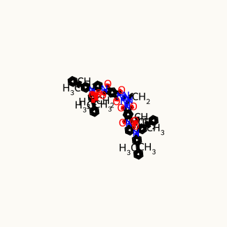 C=Cc1nc(-n2c(=O)c3cc4c(=O)n(-c5cccc(N(c6ccc(C(C)(C)c7ccccc7)cc6)c6ccc(C(C)(C)c7ccccc7)cc6)c5OC(=O)C(=C)C)c(=O)c4cc3c2=O)nc(-n2c(=O)c3cc4c(=O)n(-c5cccc(N(c6ccc(C(C)(C)c7ccccc7)cc6)c6ccc(C(C)(C)c7ccccc7)cc6)c5OC(=O)C(=C)C)c(=O)c4cc3c2=O)n1